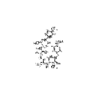 COc1ccc(Cn2ncc(NC(C)CO[C@@H]3CCN([C@@H]4CCN(c5ncc(C(F)(F)F)cn5)C[C@H]4O)C3=O)c(C(F)(F)F)c2=O)cc1